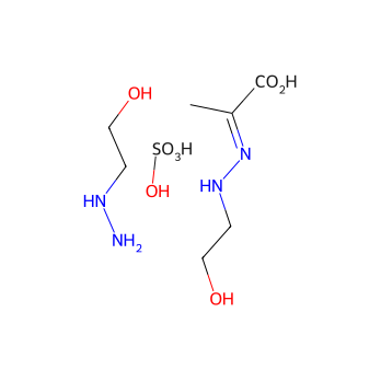 CC(=NNCCO)C(=O)O.NNCCO.O=S(=O)(O)O